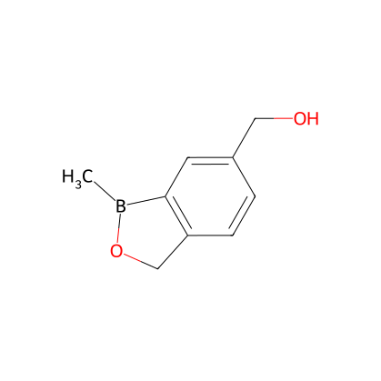 CB1OCc2ccc(CO)cc21